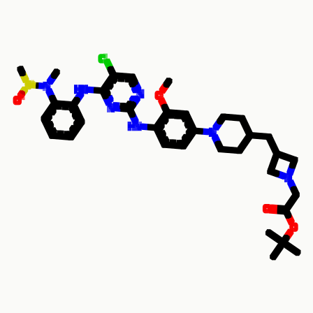 COc1cc(N2CCC(CC3CN(CC(=O)OC(C)(C)C)C3)CC2)ccc1Nc1ncc(Cl)c(Nc2ccccc2N(C)[S+](C)[O-])n1